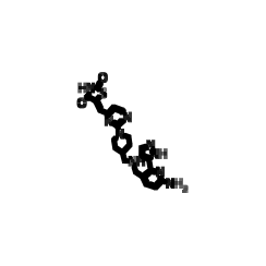 Nc1ccc(CNCC2CCN(c3nccc(/C=C4\SC(=O)NC4=O)n3)CC2)c(-c2ccn[nH]2)n1